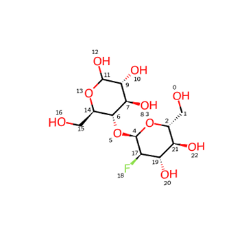 OC[C@H]1O[C@H](O[C@H]2[C@H](O)[C@@H](O)C(O)O[C@@H]2CO)[C@H](F)[C@@H](O)[C@@H]1O